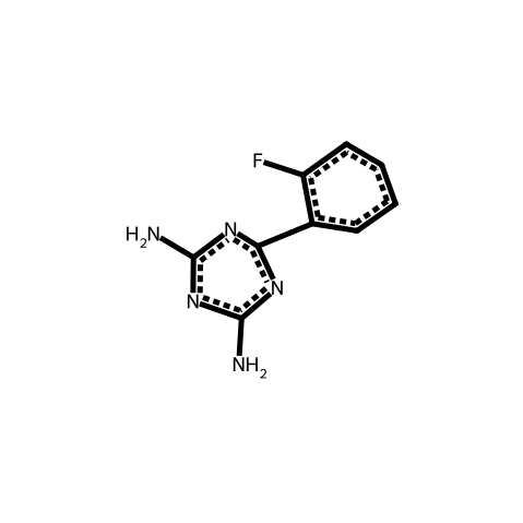 Nc1nc(N)nc(-c2ccccc2F)n1